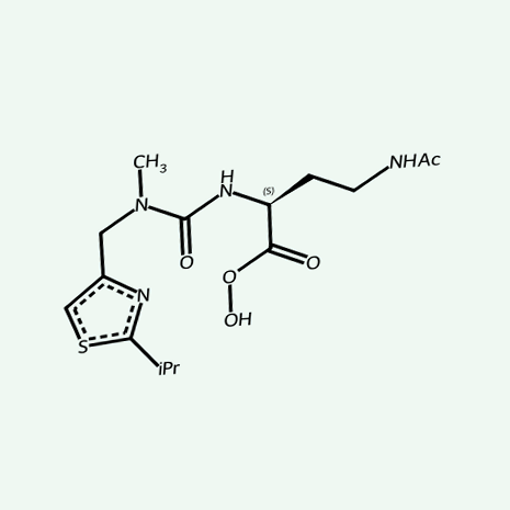 CC(=O)NCC[C@H](NC(=O)N(C)Cc1csc(C(C)C)n1)C(=O)OO